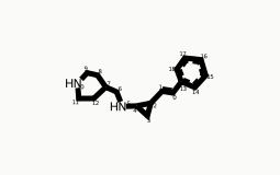 C(=C\C1CC1NCC1CCNCC1)/c1ccccc1